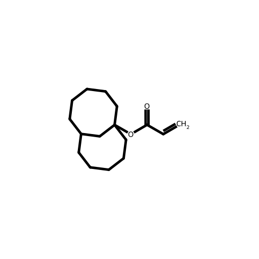 C=CC(=O)OC12CCCCCC(CCCCC1)C2